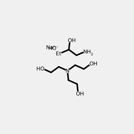 CCC(O)CN.OCCN(CCO)CCO.[Na+].[OH-]